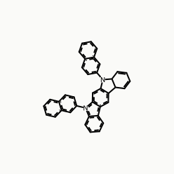 C1=CC2c3cc4c5ccccc5n(-c5ccc6ccccc6c5)c4cc3N(c3ccc4ccccc4c3)C2C=C1